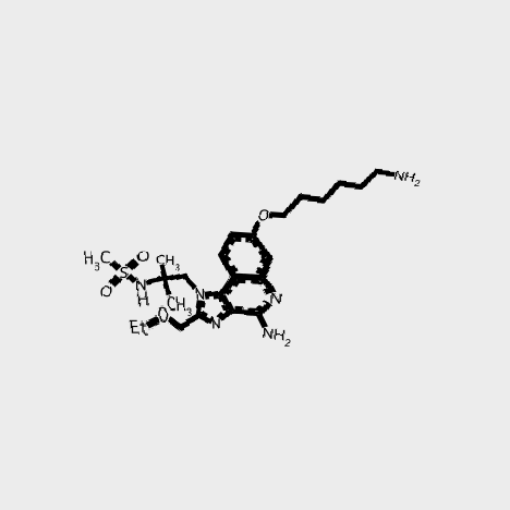 CCOCc1nc2c(N)nc3cc(OCCCCCCN)ccc3c2n1CC(C)(C)NS(C)(=O)=O